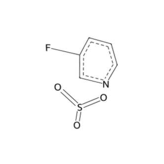 Fc1cccnc1.O=S(=O)=O